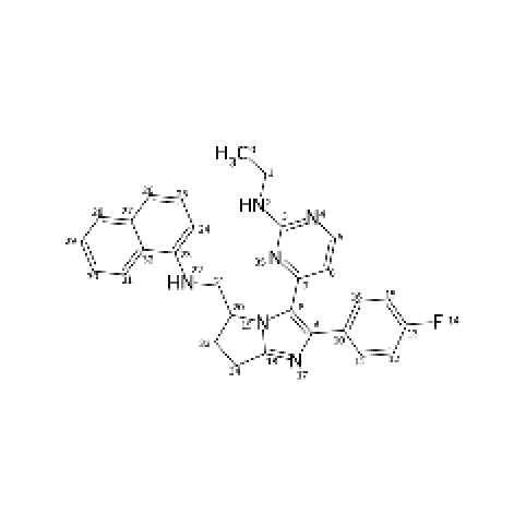 CCNc1nccc(-c2c(-c3ccc(F)cc3)nc3n2C(CNc2cccc4ccccc24)CC3)n1